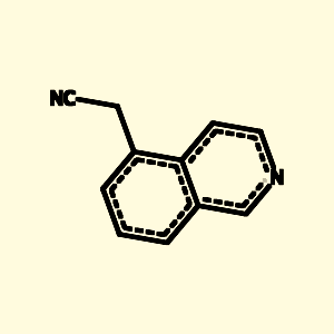 N#CCc1cccc2cnccc12